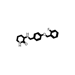 O=C1NCCCC1NCc1ccc(OCc2ccccc2F)cc1